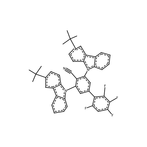 CC(C)(C)c1ccc2c(c1)c1ccccc1n2-c1cc(-c2c(F)cc(F)c(F)c2F)cc(-n2c3ccccc3c3cc(C(C)(C)C)ccc32)c1C#N